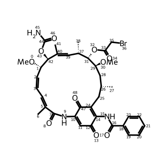 CO[C@H]1/C=C\C=C(/C)C(=O)NC2=CC(=O)C(NC(=O)c3ccccc3)=C(C[C@@H](C)C[C@H](OC)[C@@H](OC(=O)CBr)[C@@H](C)/C=C(\C)[C@@H]1OC(N)=O)C2=O